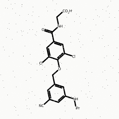 CC(C)Nc1cc(C#N)cc(COc2c(Cl)cc(C(=O)NCC(=O)O)cc2Cl)c1